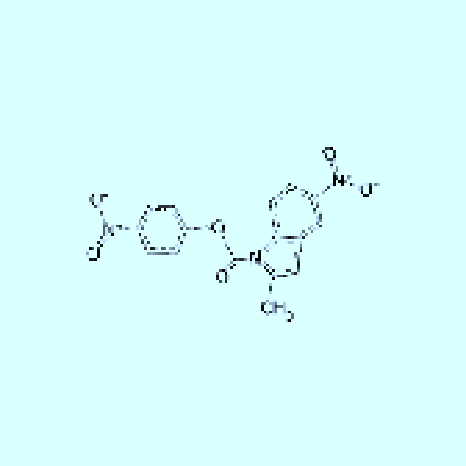 Cc1cc2cc([N+](=O)[O-])ccc2n1C(=O)Oc1ccc([N+](=O)[O-])cc1